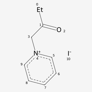 CCC(=O)C[n+]1ccccc1.[I-]